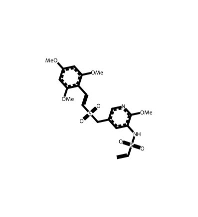 C=CS(=O)(=O)Nc1cc(CS(=O)(=O)C=Cc2c(OC)cc(OC)cc2OC)cnc1OC